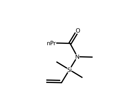 C=C[Si](C)(C)N(C)C(=O)CCC